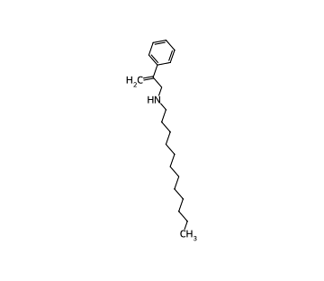 C=C(CNCCCCCCCCCCCC)c1ccccc1